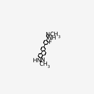 Cc1ncc(-c2ccc(-c3ccc4c(ccc5c4ccc4[nH]c(C)nc45)c3)cc2F)[nH]1